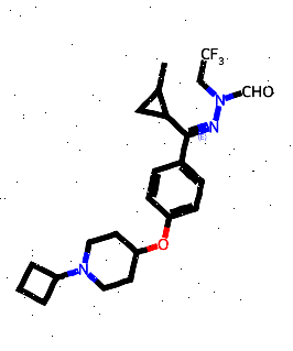 CC1CC1/C(=N\N(C=O)CC(F)(F)F)c1ccc(OC2CCN(C3CCC3)CC2)cc1